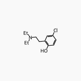 CCN(CC)CCc1cc(Cl)ccc1O